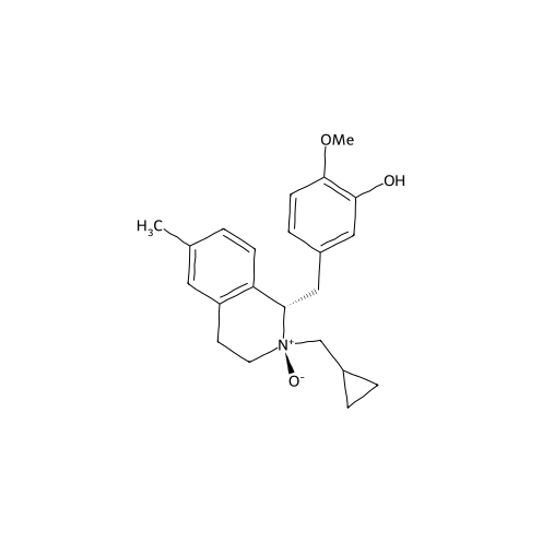 COc1ccc(C[C@H]2c3ccc(C)cc3CC[N@@+]2([O-])CC2CC2)cc1O